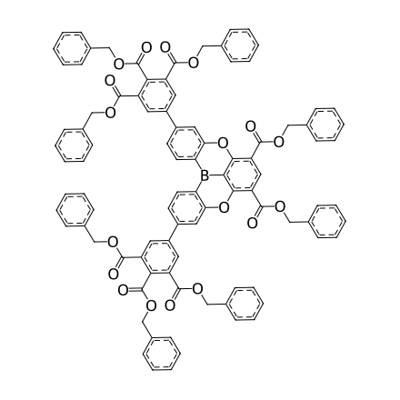 O=C(OCc1ccccc1)c1cc(C(=O)OCc2ccccc2)c2c3c1Oc1cc(-c4cc(C(=O)OCc5ccccc5)c(C(=O)OCc5ccccc5)c(C(=O)OCc5ccccc5)c4)ccc1B3c1ccc(-c3cc(C(=O)OCc4ccccc4)c(C(=O)OCc4ccccc4)c(C(=O)OCc4ccccc4)c3)cc1O2